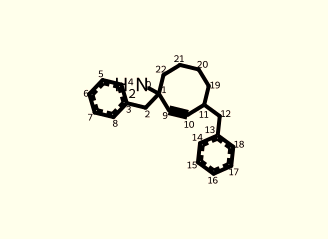 NC1(Cc2ccccc2)C#CC(Cc2ccccc2)CCCC1